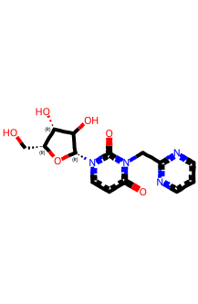 O=c1ccn([C@@H]2O[C@H](CO)[C@H](O)C2O)c(=O)n1Cc1ncccn1